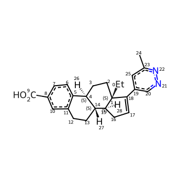 CC[C@]12CC[C@@H]3c4ccc(C(=O)O)cc4CC[C@H]3[C@@H]1CC=C2c1cnnc(C)c1